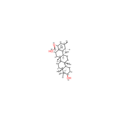 C[C@@H]1[C@H]2[C@H]3CC[C@@H]4[C@@]5(C)CC[C@@H](O)C(C)(C)[C@@H]5CC[C@@]4(C)[C@]3(C)CC[C@@]2(C(=O)O)CC[C@H]1C